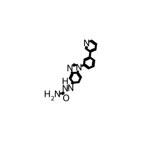 NC(=O)NN=C1C=c2ncn(-c3cccc(-c4cccnc4)c3)c2=CC1